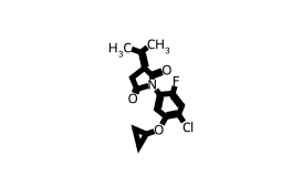 CC(C)=C1CC(=O)N(c2cc(OC3CC3)c(Cl)cc2F)C1=O